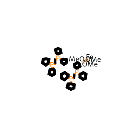 COP(OC)OC.[Fe].c1ccc(P(CCP(c2ccccc2)c2ccccc2)c2ccccc2)cc1.c1ccc(P(CCP(c2ccccc2)c2ccccc2)c2ccccc2)cc1